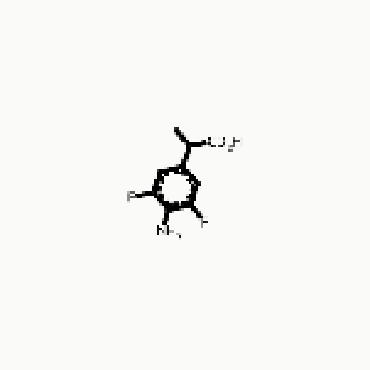 CC(C(=O)O)c1cc(F)c(N)c(F)c1